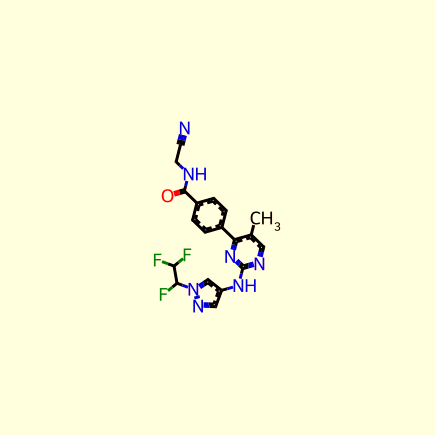 Cc1cnc(Nc2cnn(C(F)C(F)F)c2)nc1-c1ccc(C(=O)NCC#N)cc1